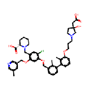 Cc1cncc(COc2cc(OCc3cccc(-c4cccc(OCCCN5CCC(O)(CC(=O)O)C5)c4C)c3C)c(Cl)cc2CN2CCCC[C@H]2C(=O)O)c1